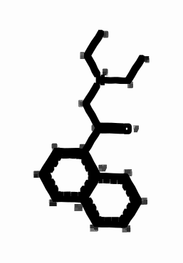 CCN(CC)CC(=O)c1cccc2ccccc12